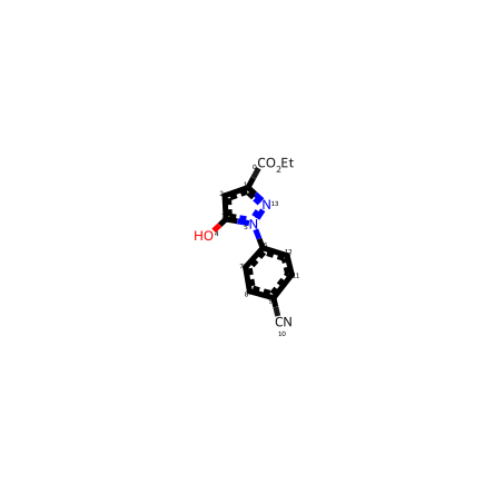 CCOC(=O)c1cc(O)n(-c2ccc(C#N)cc2)n1